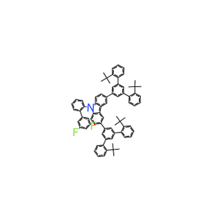 CC(C)(C)c1ccccc1-c1cc(-c2ccc3c(c2)c2cc(-c4cc(-c5ccccc5C(C)(C)C)cc(-c5ccccc5C(C)(C)C)c4)ccc2n3-c2ccccc2-c2cc(F)cc(F)c2)cc(-c2ccccc2C(C)(C)C)c1